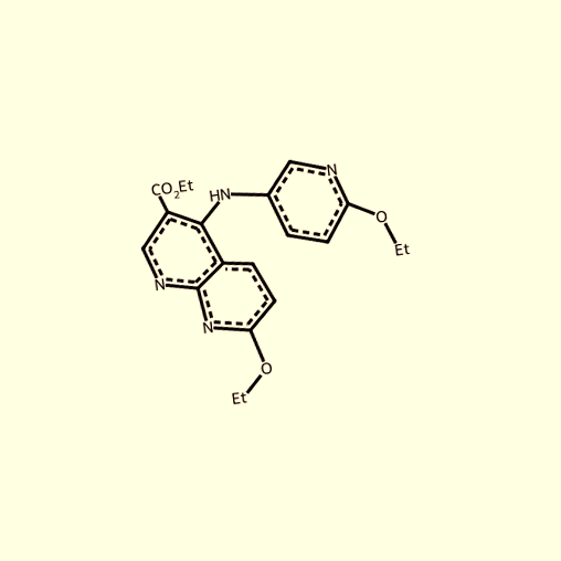 CCOC(=O)c1cnc2nc(OCC)ccc2c1Nc1ccc(OCC)nc1